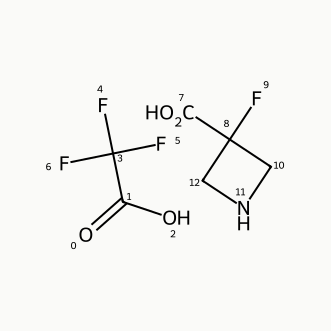 O=C(O)C(F)(F)F.O=C(O)C1(F)CNC1